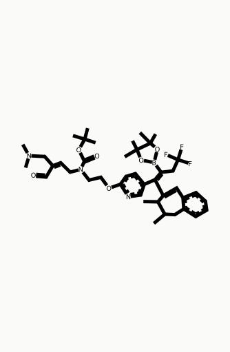 CC1Cc2ccccc2C=C(/C(=C(\CC(F)(F)F)B2OC(C)(C)C(C)(C)O2)c2ccc(OCCN(C/C=C(\C=O)CN(C)C)C(=O)OC(C)(C)C)nc2)C1C